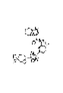 Cc1ccc(-c2noc([C@H]3CCC(F)(F)CO3)n2)cc1NC(=O)c1cnc2ccccn12